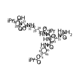 CC(C)C(=O)OCc1ccc(NC(=O)[C@H](CCCNC(N)=O)NC(=O)[C@@H](NC(=O)CCCCCNC(=O)CN2C(=O)CC(C(C)C)C2O)C(C)C)cc1